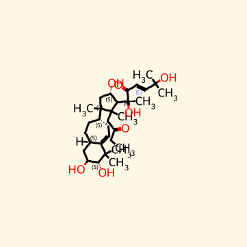 CCC(=O)CC1(C)C([C@@](C)(O)C(=O)/C=C/C(C)(C)O)[C@@H](O)C[C@@]1(C)[C@@H]1CC=C2[C@@H](CC1)CC(O)[C@@H](O)C2(C)C